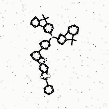 CC1(C)c2ccccc2-c2cc(N(c3ccc(-c4cccc5c4oc4cc6oc(-c7ccccc7)nc6cc45)cc3)c3ccc4c(c3)-c3ccccc3C4(C)C)ccc21